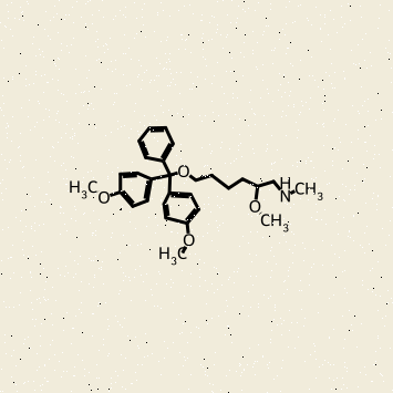 CNCC(CCCCOC(c1ccccc1)(c1ccc(OC)cc1)c1ccc(OC)cc1)OC